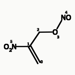 C=C(CON=O)[N+](=O)[O-]